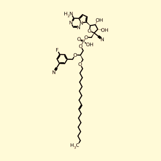 CCCCCCCC/C=C/CCCCCCCCOC[C@H](COP(=O)(O)OC[C@@]1(C#N)O[C@@H](c2ccc3c(N)ncnn23)[C@H](O)[C@@H]1O)OCc1cc(F)cc(C#N)c1